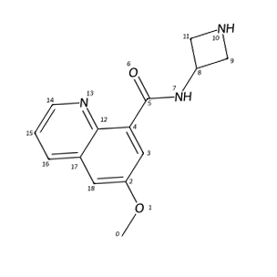 COc1cc(C(=O)NC2CNC2)c2ncccc2c1